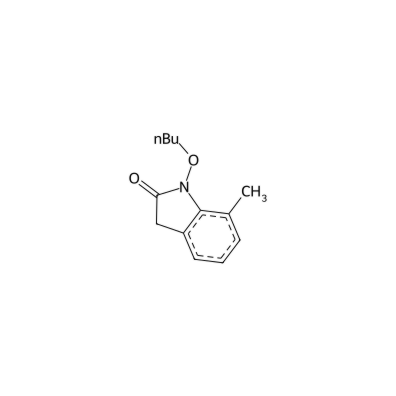 CCCCON1C(=O)Cc2cccc(C)c21